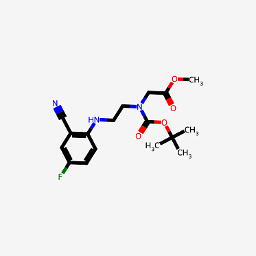 COC(=O)CN(CCNc1ccc(F)cc1C#N)C(=O)OC(C)(C)C